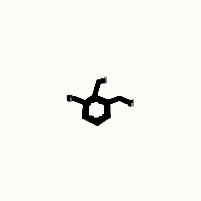 ClCc1cccc(Cl)c1CI